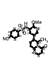 COc1ncc(-c2ccc3nccc(=O)n3c2C)cc1NS(=O)(=O)c1ccc(C#N)cc1